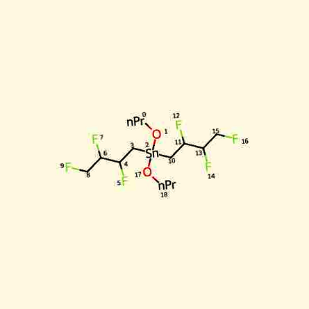 CCC[O][Sn]([CH2]C(F)C(F)CF)([CH2]C(F)C(F)CF)[O]CCC